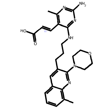 Cc1nc(N)nc(NCCCc2cc3cccc(C)c3nc2N2CCOCC2)c1/C=C/C(=O)O